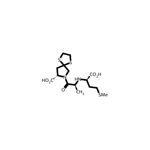 CSCC[C@@H](N[C@@H](C)C(=O)N1CC2(C[C@H]1C(=O)O)SCCS2)C(=O)O